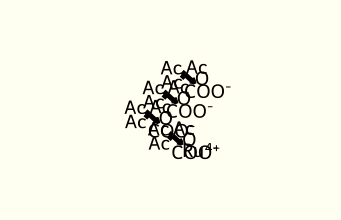 CC(=O)C(C(C)=O)(C(C)=O)C(=O)C(=O)[O-].CC(=O)C(C(C)=O)(C(C)=O)C(=O)C(=O)[O-].CC(=O)C(C(C)=O)(C(C)=O)C(=O)C(=O)[O-].CC(=O)C(C(C)=O)(C(C)=O)C(=O)C(=O)[O-].[Ru+4]